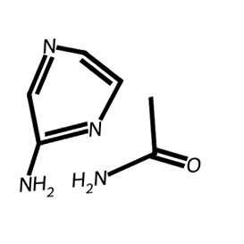 CC(N)=O.Nc1cnccn1